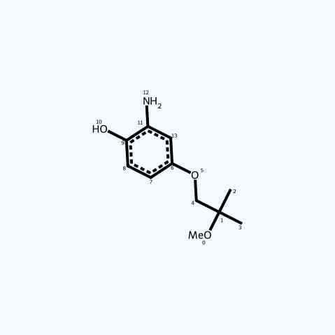 COC(C)(C)COc1ccc(O)c(N)c1